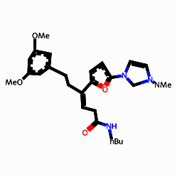 CCCCNC(=O)CC=C(CCc1cc(OC)cc(OC)c1)c1ccc(N2C=CN(NC)C2)o1